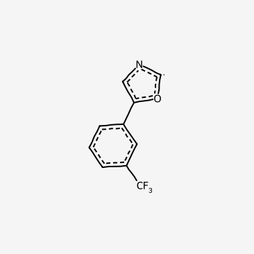 FC(F)(F)c1cccc(-c2cn[c]o2)c1